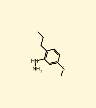 CCCc1ccc(SC)cc1NN